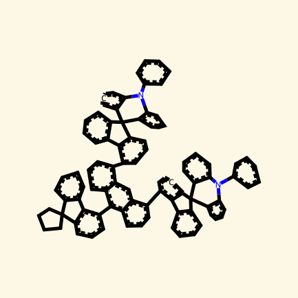 c1ccc(N2c3ccccc3C3(c4ccccc4-c4c(-c5cccc6c(-c7cccc8c7-c7ccccc7C87CCCC7)c7cccc(-c8cccc9c8-c8ccccc8C98c9ccccc9N(c9ccccc9)c9ccccc98)c7cc56)cccc43)c3ccccc32)cc1